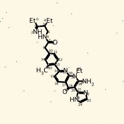 CCC(=N)C(CC)CNC(=O)Cc1ccc(-c2ccc3c(=O)c(-c4ncc[nH]4)c(N)n(CC)c3n2)c(C)c1